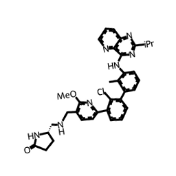 COc1nc(-c2cccc(-c3cccc(Nc4nc(C(C)C)nc5cccnc45)c3C)c2Cl)ccc1CNC[C@@H]1CCC(=O)N1